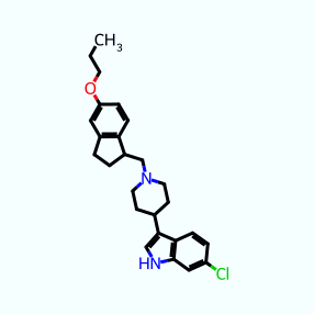 CCCOc1ccc2c(c1)CCC2CN1CCC(c2c[nH]c3cc(Cl)ccc23)CC1